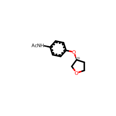 CC(=O)Nc1ccc(O[C@H]2CCOC2)cc1